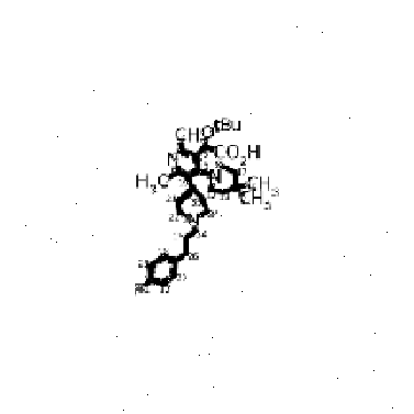 Cc1nc(C)c(C(OC(C)(C)C)C(=O)O)c(N2CCC(C)(C)CC2)c1C1=CCN(CCCc2ccc(F)cc2)CC1